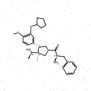 COc1ccc([C@@H]2CN(C(=O)[C@H](N)Cc3ccccc3)C[C@@]2(C)[C@@H](C)O)cc1OC1CCCC1